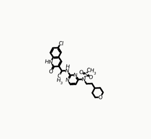 CC(Nc1nccc(N(CCC2CCOCC2)S(C)(=O)=O)n1)c1cc2cc(Cl)ccc2[nH]c1=O